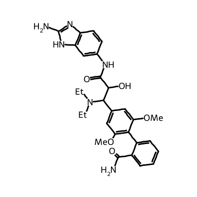 CCN(CC)C(c1cc(OC)c(-c2ccccc2C(N)=O)c(OC)c1)C(O)C(=O)Nc1ccc2nc(N)[nH]c2c1